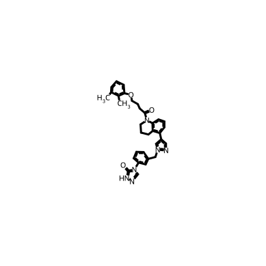 Cc1cccc(OCCCC(=O)N2CCCc3c(-c4cnn(Cc5cccc(-n6cn[nH]c6=O)c5)c4)cccc32)c1C